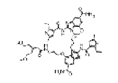 CCn1nc(C)cc1C(=O)Nc1nc2cc(C(N)=O)cc(OCCCNC(=O)CN(CCOC)CCOC)c2n1CCC[C@H]1COc2cc(C(N)=O)cc3nc(NC(=O)c4cc(C)nn4CC)n1c23